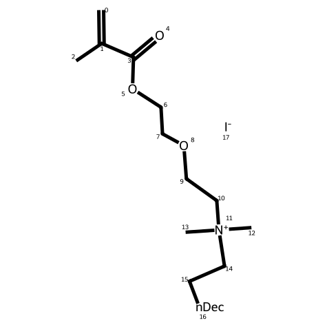 C=C(C)C(=O)OCCOCC[N+](C)(C)CCCCCCCCCCCC.[I-]